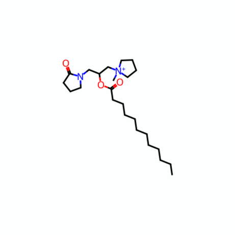 CCCCCCCCCCCC(=O)OC(CN1CCCC1=O)C[N+]1(C)CCCC1